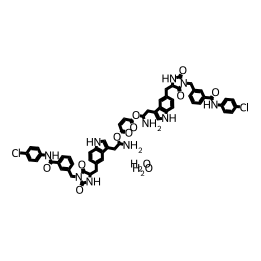 NC(Cc1c[nH]c2ccc(CC3NC(=O)N(Cc4cccc(C(=O)Nc5ccc(Cl)cc5)c4)C3=O)cc12)OC(=O)/C=C\C(=O)OC(N)Cc1c[nH]c2ccc(CC3NC(=O)N(Cc4cccc(C(=O)Nc5ccc(Cl)cc5)c4)C3=O)cc12.O.O